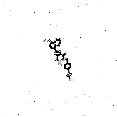 COc1ccc(-c2nc(C(=O)NCc3ccc(N4CC(O)C4)cc3)c([C@H](C)N)o2)c2ccc(C(F)(F)F)nc12